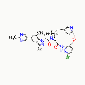 CC(=O)c1nn(CC(=O)N2C3C[C@@]4(Cc5ccc(nc5)COCc5ccc(Br)nc5NC3=O)C[C@@H]24)c2c(C)cc(-c3cnc(C)nc3)cc12